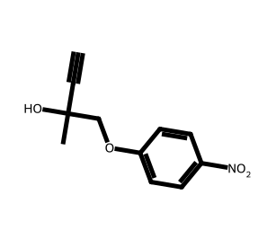 C#CC(C)(O)COc1ccc([N+](=O)[O-])cc1